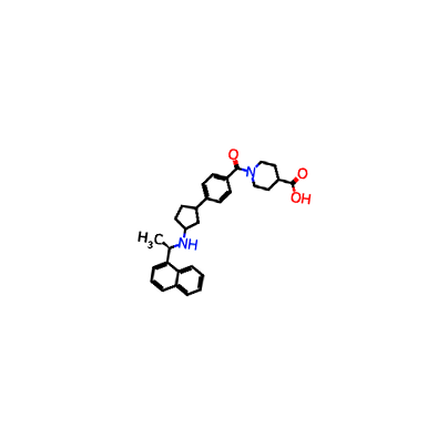 C[C@@H](NC1CCC(c2ccc(C(=O)N3CCC(C(=O)O)CC3)cc2)C1)c1cccc2ccccc12